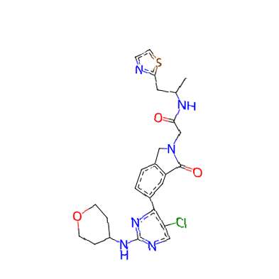 CC(Cc1nccs1)NC(=O)CN1Cc2ccc(-c3nc(NC4CCOCC4)ncc3Cl)cc2C1=O